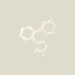 c1ccc2c(c1)c1ccccc1c1sncc21